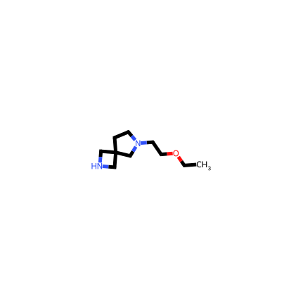 CCOCCN1CCC2(CNC2)C1